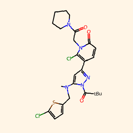 CN(Cc1ccc(Cl)s1)c1cc(-c2ccc(=O)n(CC(=O)N3CCCCC3)c2Cl)nn1C(=O)C(C)(C)C